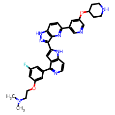 CN(C)CCOc1cc(F)cc(-c2nccc3[nH]c(-c4n[nH]c5ccc(-c6cncc(OC7CCNCC7)c6)nc45)cc23)c1